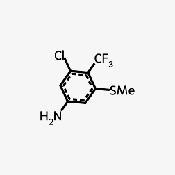 CSc1cc(N)cc(Cl)c1C(F)(F)F